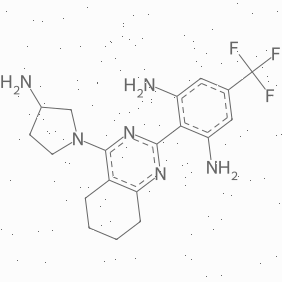 Nc1cc(C(F)(F)F)cc(N)c1-c1nc2c(c(N3CCC(N)C3)n1)CCCC2